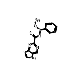 O=C(OB(OS)c1ccccc1)c1ncc2[nH]cnc2n1